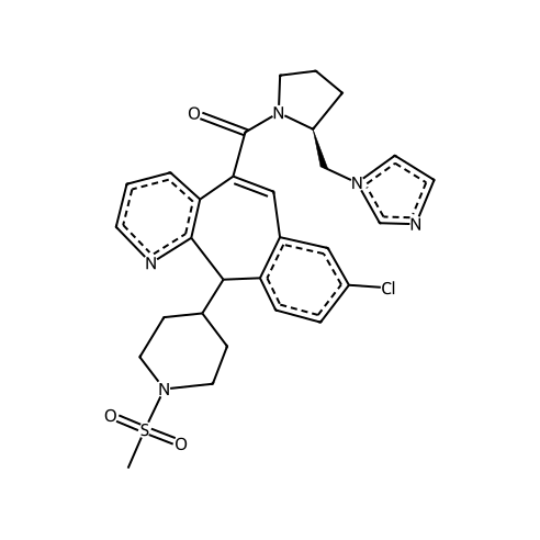 CS(=O)(=O)N1CCC(C2c3ccc(Cl)cc3C=C(C(=O)N3CCC[C@H]3Cn3ccnc3)c3cccnc32)CC1